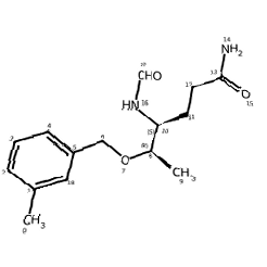 Cc1cccc(CO[C@H](C)[C@H](CCC(N)=O)NC=O)c1